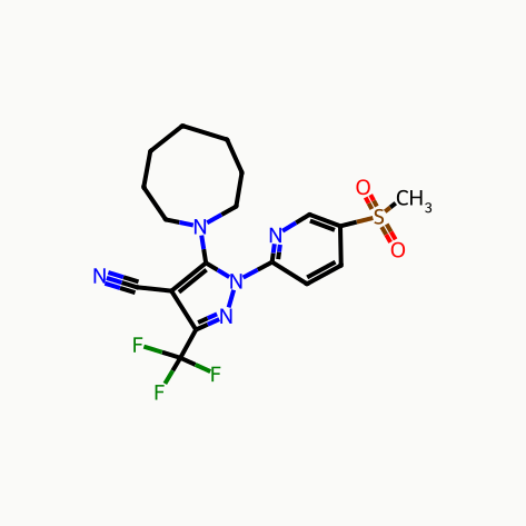 CS(=O)(=O)c1ccc(-n2nc(C(F)(F)F)c(C#N)c2N2CCCCCCC2)nc1